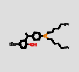 CC(C)CCCCCP(CCCCCC(C)C)c1ccc(C(C)c2cc(C(C)(C)C)ccc2O)cc1